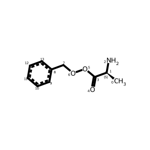 C[C@H](N)C(=O)OOCc1ccccc1